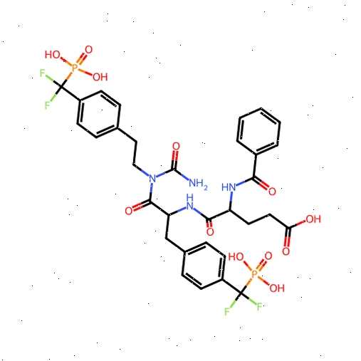 NC(=O)N(CCc1ccc(C(F)(F)P(=O)(O)O)cc1)C(=O)C(Cc1ccc(C(F)(F)P(=O)(O)O)cc1)NC(=O)C(CCC(=O)O)NC(=O)c1ccccc1